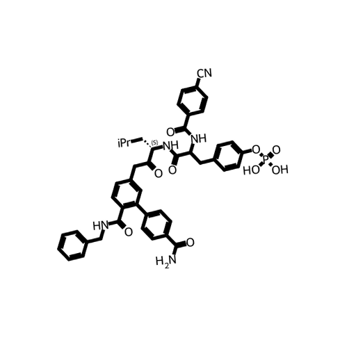 CC(C)C[C@H](NC(=O)C(Cc1ccc(OP(=O)(O)O)cc1)NC(=O)c1ccc(C#N)cc1)C(=O)Cc1ccc(C(=O)NCc2ccccc2)c(-c2ccc(C(N)=O)cc2)c1